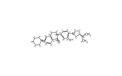 CN(C)[C@@H]1CCN(c2ccc(N3CCc4cc(N5CCCCC5)ccc4C3=O)cc2F)C1